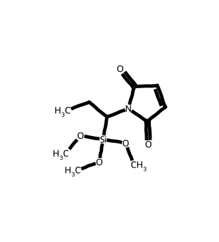 CCC(N1C(=O)C=CC1=O)[Si](OC)(OC)OC